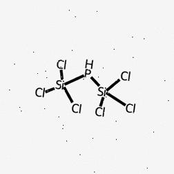 Cl[Si](Cl)(Cl)P[Si](Cl)(Cl)Cl